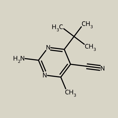 Cc1nc(N)nc(C(C)(C)C)c1C#N